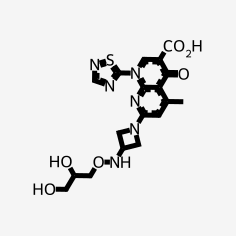 Cc1cc(N2CC(NOCC(O)CO)C2)nc2c1c(=O)c(C(=O)O)cn2-c1ncns1